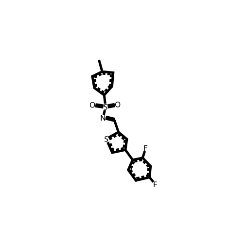 Cc1ccc(S(=O)(=O)/N=C/c2cc(-c3ccc(F)cc3F)cs2)cc1